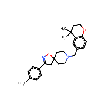 CC1(C)CCOc2ccc(CN3CCC4(CC3)CC(c3ccc(C(=O)O)cc3)=NO4)cc21